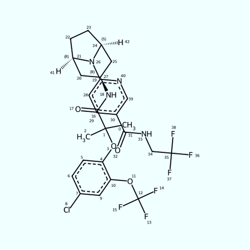 CC(C)(Oc1ccc(Cl)cc1OC(F)(F)F)C(=O)N[C@H]1C[C@H]2CC[C@@H](C1)N2c1ccc(C(=O)NCC(F)(F)F)cn1